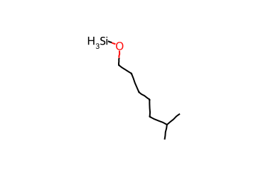 CC(C)CCCCCO[SiH3]